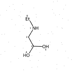 CCNC[C](O)O